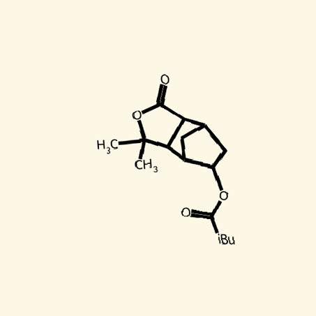 CCC(C)C(=O)OC1CC2CC1C1C2C(=O)OC1(C)C